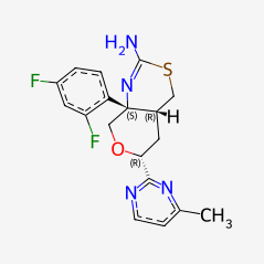 Cc1ccnc([C@H]2C[C@H]3CSC(N)=N[C@@]3(c3ccc(F)cc3F)CO2)n1